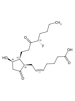 CCCC[C@H](F)C(=O)CC[C@@H]1[C@H](O)CC(=O)[C@@H]1C/C=C\CCCC(=O)O